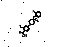 CCc1cc(N2CCC(Cc3ccccc3F)(OC)CC2)ccc1C(=O)O